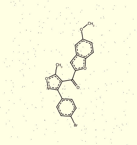 COc1ccc2oc(C(=O)c3c(-c4ccc(Br)cc4)noc3C)cc2c1